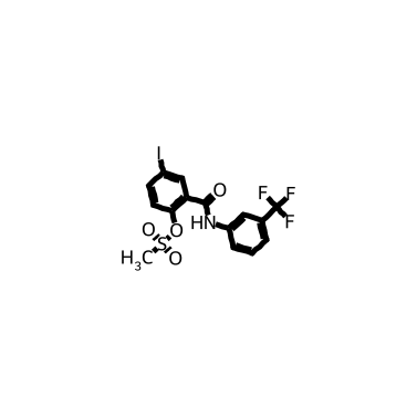 CS(=O)(=O)Oc1ccc(I)cc1C(=O)Nc1cccc(C(F)(F)F)c1